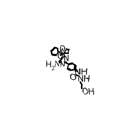 Nc1cc(C2(S(=O)(=O)c3ccccc3)CCC2)nc(-c2ccc(NC(=O)NCCCO)cc2)n1